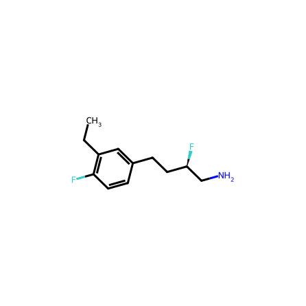 CCc1cc(CC[C@@H](F)CN)ccc1F